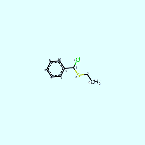 [CH2]CSC(Cl)c1ccccc1